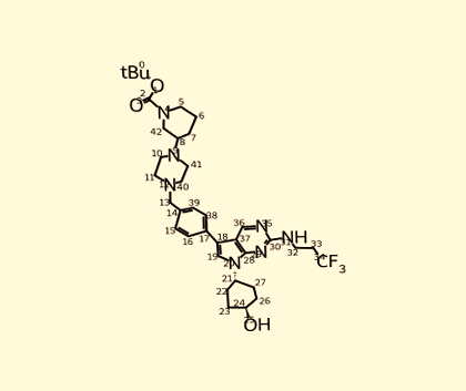 CC(C)(C)OC(=O)N1CCCC(N2CCN(Cc3ccc(-c4cn([C@H]5CC[C@H](O)CC5)c5nc(NCCC(F)(F)F)ncc45)cc3)CC2)C1